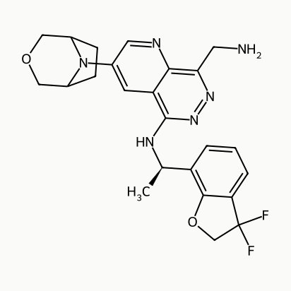 C[C@@H](Nc1nnc(CN)c2ncc(N3C4CCC3COC4)cc12)c1cccc2c1OCC2(F)F